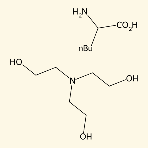 CCCCC(N)C(=O)O.OCCN(CCO)CCO